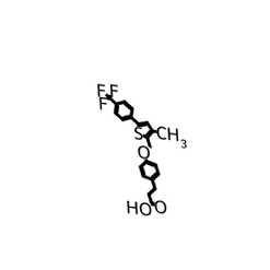 Cc1cc(-c2ccc(C(F)(F)F)cc2)sc1COc1ccc(CCC(=O)O)cc1